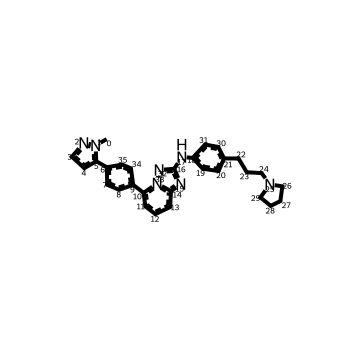 Cn1nccc1-c1ccc(-c2cccc3nc(Nc4ccc(CCCN5CCCC5)cc4)nn23)cc1